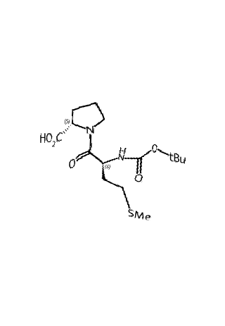 CSCC[C@H](NC(=O)OC(C)(C)C)C(=O)N1CCC[C@H]1C(=O)O